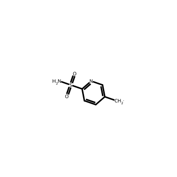 [CH2]c1ccc(S(N)(=O)=O)nc1